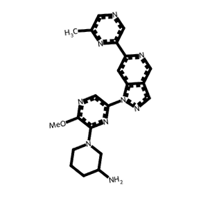 COc1ncc(-n2ncc3cnc(-c4cncc(C)n4)cc32)nc1N1CCCC(N)C1